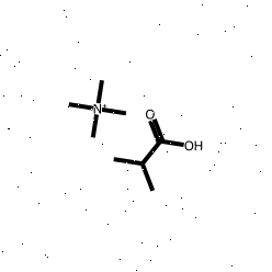 CC(C)C(=O)O.C[N+](C)(C)C